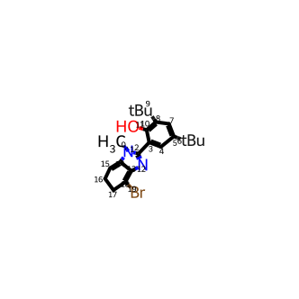 Cn1c(-c2cc(C(C)(C)C)cc(C(C)(C)C)c2O)nc2c1=CCCC=2Br